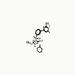 Cc1cc(-c2cccc(S(=O)(=O)NC(=O)[C@H](CC3CCCCC3)NC(=O)OC(C)(C)C)c2)nc(N)n1